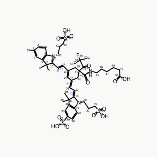 Cc1ccc2c(c1)C(C)(C)C(/C=C/C1=CC(=C/C=C3/N(CCCS(=O)(=O)O)c4ccc(S(=O)(=O)O)cc4C3(C)C)/CC(C(=O)NCCCCCC(=O)O)(C(=O)C(F)(F)F)C1)=[N+]2CCCS(=O)(=O)O